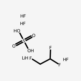 F.F.F.FCC(F)F.O=S(=O)(O)O.[LiH]